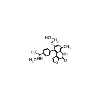 CNC(C)c1ccc(-c2c(OC)cc(C)c3[nH]c(=O)c4sccc4c23)cc1.Cl